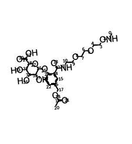 CNOCCOCCOCCNC(=O)c1cc(COC(C)=O)ccc1O[C@@H]1O[C@H](C(=O)O)[C@@H](O)[C@H](O)[C@H]1O